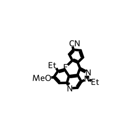 CCc1cc2c(cc1OC)ncc1c2c(-c2ccc(C#N)cc2F)nn1CC